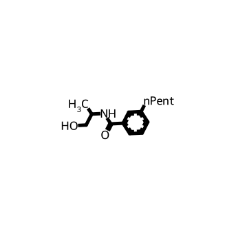 CCCCCc1cccc(C(=O)NC(C)CO)c1